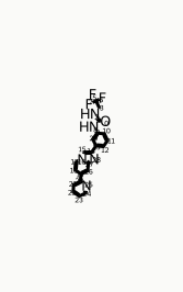 O=C(NCC(F)(F)F)Nc1cccc(-c2cn3ccc(-c4ccccn4)cc3n2)c1